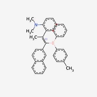 C/C(=C(/B(c1ccccc1)c1ccc(C)cc1)c1ccc2ccccc2c1)c1ccccc1N(C)C